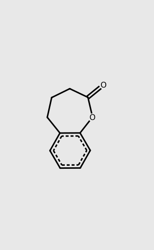 O=C1CCCc2ccccc2O1